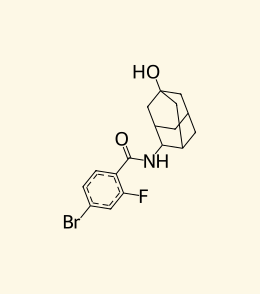 O=C(NC1C2CC3CC1CC(O)(C3)C2)c1ccc(Br)cc1F